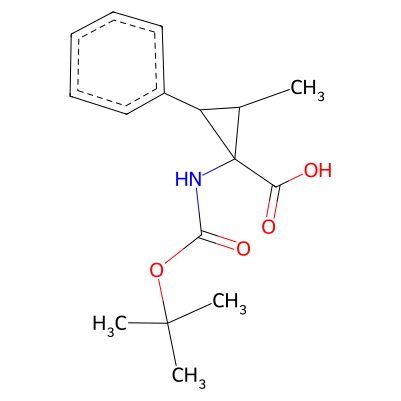 CC1C(c2ccccc2)C1(NC(=O)OC(C)(C)C)C(=O)O